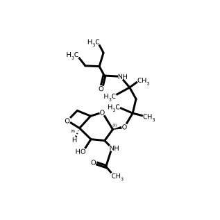 CCC(CC)C(=O)NC(C)(C)CC(C)(C)O[C@@H]1OC2CO[C@@H]2C(O)C1NC(C)=O